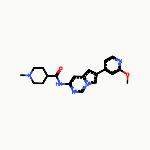 COc1cc(-c2cc3cc(NC(=O)C4CCN(C)CC4)ncn3c2)ccn1